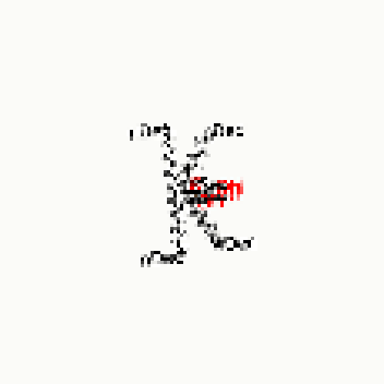 CCCCCCCCCCCCCCCCCCC(CCCCCCCCCCCCCCCCCC)C(CCCCCCCCCCCCCCCCCC)(CCCCCCCCCCCCCCCCCC)C(=S)OCC(CO)(CO)CO